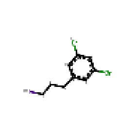 Brc1cc(Br)cc(CCCI)c1